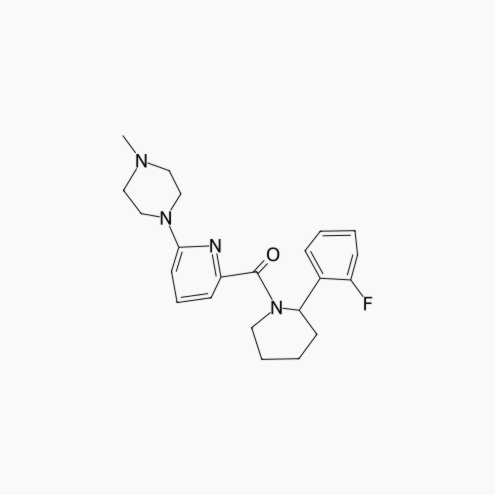 CN1CCN(c2cccc(C(=O)N3CCCCC3c3ccccc3F)n2)CC1